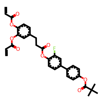 C=CC(=O)Oc1ccc(CCC(=O)Oc2ccc(-c3ccc(OC(=O)C(C)(C)C)cc3)cc2F)cc1OC(=O)C=C